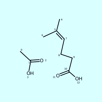 CC(=O)O.CC(C)=CCCC(=O)O